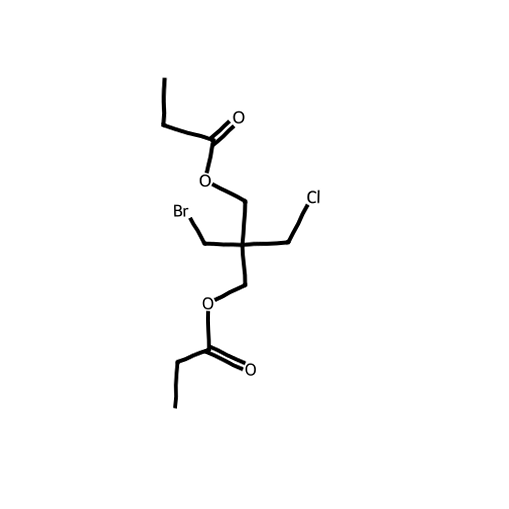 CCC(=O)OCC(CCl)(CBr)COC(=O)CC